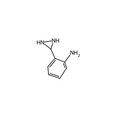 Nc1ccccc1C1NN1